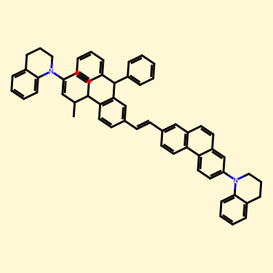 CC1C=C(N2CCCc3ccccc32)C=CC1c1ccc(/C=C/c2ccc3c(ccc4cc(N5CCCc6ccccc65)ccc43)c2)cc1C(c1ccccc1)c1ccccc1